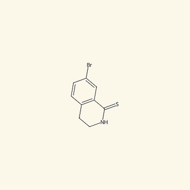 S=C1NCCc2ccc(Br)cc21